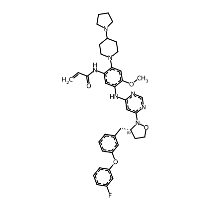 C=CC(=O)Nc1cc(Nc2cc(N3OCC[C@@H]3Cc3cccc(Oc4cccc(F)c4)c3)ncn2)c(OC)cc1N1CCC(N2CCCC2)CC1